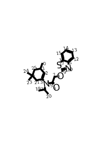 CC1C=C(N(C(=O)COc2nc3ccccc3s2)C(C)C)CC(C)(C)C1